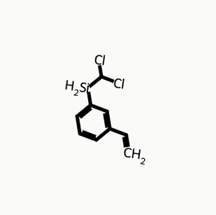 C=Cc1cccc([SiH2]C(Cl)Cl)c1